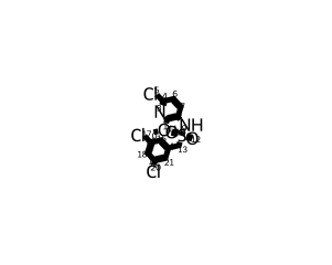 COc1nc(Cl)ccc1NS(=O)(=O)Cc1cc(Cl)cc(Cl)c1